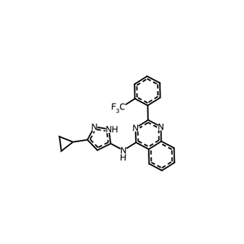 FC(F)(F)c1ccccc1-c1nc(Nc2cc(C3CC3)n[nH]2)c2ccccc2n1